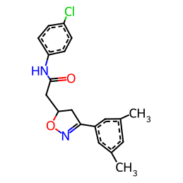 Cc1cc(C)cc(C2=NOC(CC(=O)Nc3ccc(Cl)cc3)C2)c1